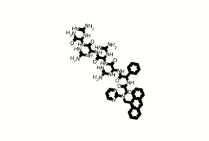 N=C(N)NC(NC(=O)C(NC(=N)N)NC(=O)C(NC(=N)N)NC(=O)C(NC(=N)N)NC(=O)C(NC(=O)C(O)N(Cc1c2ccccc2cc2ccccc12)c1ncccn1)c1ccccc1)C(N)=O